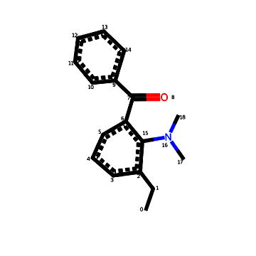 CCc1cccc(C(=O)c2ccccc2)c1N(C)C